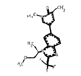 COC[C@@H](C)n1c(C(F)(F)F)nc2ccc(-c3cc(C)c(=O)n(C)c3)cc21